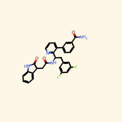 NC(=O)c1cccc(-c2cccnc2C(Cc2cc(F)cc(F)c2)NC(=O)CC2C(=O)Nc3ccccc32)c1